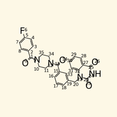 O=C(c1ccc(F)cc1)N1CCN(C(=O)c2cccc(Cn3c(=O)[nH]c(=O)c4ccccc43)c2)CC1